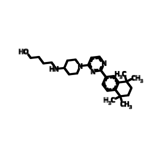 CC1(C)CCC(C)(C)c2cc(-c3nccc(N4CCC(NCCCCO)CC4)n3)ccc21